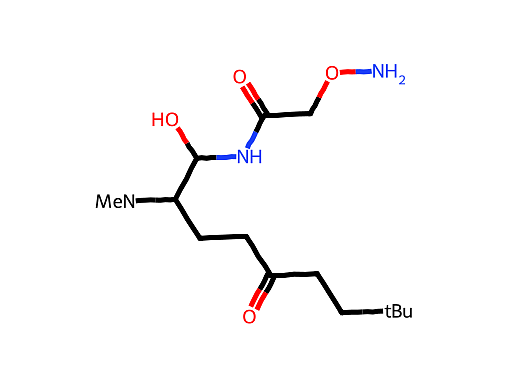 CNC(CCC(=O)CCC(C)(C)C)C(O)NC(=O)CON